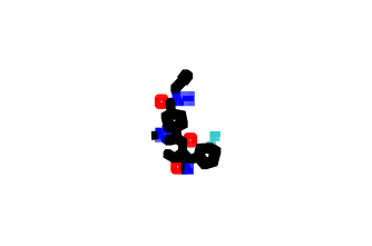 C#CCNC(=O)c1ccc2c(C(=O)c3c(-c4cccc(F)c4)noc3C)cn(C)c2c1